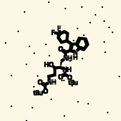 CC(C)(C)OC(=O)NCCC(O)[C@H](CNC(=O)c1[nH]c2ccccc2c1C1CCC(F)(F)CC1)NC(=O)OC(C)(C)C